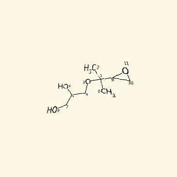 CC(C)(OCC(O)CO)C1CO1